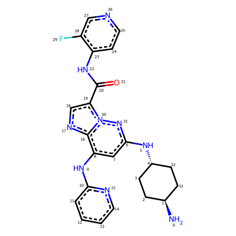 N[C@H]1CC[C@H](Nc2cc(Nc3ccccn3)c3ncc(C(=O)Nc4ccncc4F)n3n2)CC1